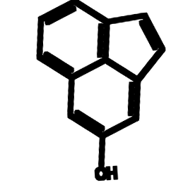 Oc1cc2c3c(cccc3c1)C=C2